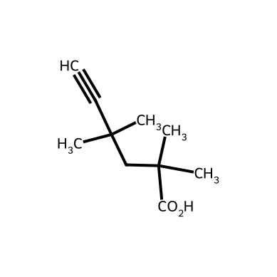 C#CC(C)(C)CC(C)(C)C(=O)O